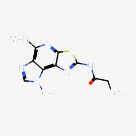 CNc1nc2sc(NC(=O)COC(C)=O)nc2c2c1ncn2C